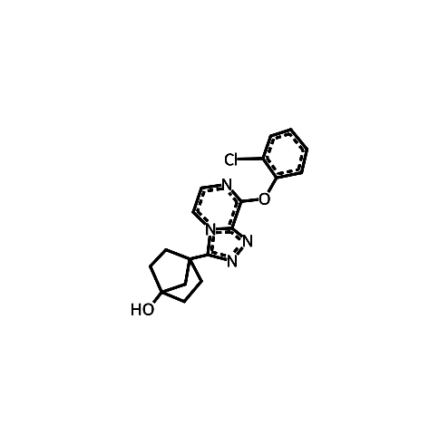 OC12CCC(c3nnc4c(Oc5ccccc5Cl)nccn34)(CC1)C2